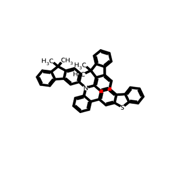 CC1(C)c2ccccc2-c2cc(N(c3ccccc3-c3ccc4c(c3)sc3ccccc34)c3cccc4c3C(C)(C)c3ccccc3-4)ccc21